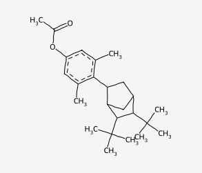 CC(=O)Oc1cc(C)c(C2CC3CC2C(C(C)(C)C)C3C(C)(C)C)c(C)c1